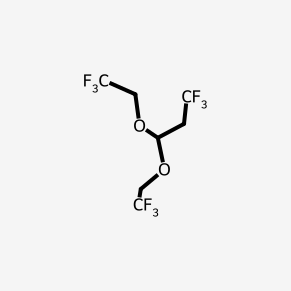 FC(F)(F)COC(CC(F)(F)F)OCC(F)(F)F